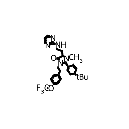 CN1C(CCNc2ncccn2)C(=O)N(CCc2ccc(OC(F)(F)F)cc2)C1C1=CCC(C(C)(C)C)C=C1